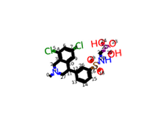 CN1Cc2c(Cl)cc(Cl)cc2C(c2cccc(S(=O)(=O)NCP(=O)(O)O)c2)C1